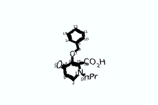 CCCn1ccc(=O)c(OCc2ccccc2)c1C(=O)O